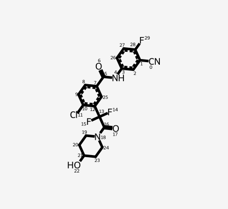 N#Cc1cc(NC(=O)c2ccc(Cl)c(C(F)(F)C(=O)N3CCC(O)CC3)c2)ccc1F